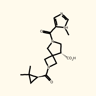 C[SH]1C=NC=C1C(=O)N1C[C@H](C(=O)O)C2(C1)CN(C(=O)[C@H]1CC1(C)C)C2